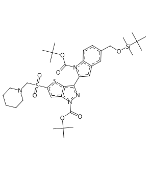 CC(C)(C)OC(=O)n1nc(-c2cc3cc(CO[Si](C)(C)C(C)(C)C)ccc3n2C(=O)OC(C)(C)C)c2sc(S(=O)(=O)CN3CCCCC3)cc21